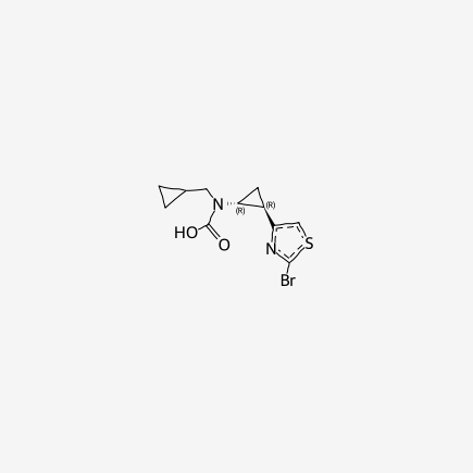 O=C(O)N(CC1CC1)[C@@H]1C[C@H]1c1csc(Br)n1